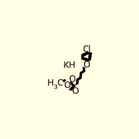 CCOC(=O)[C@@]1(CCCCCCOc2ccc(Cl)cc2)CO1.[KH]